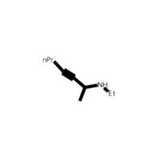 [CH2]C(C#CCCC)NCC